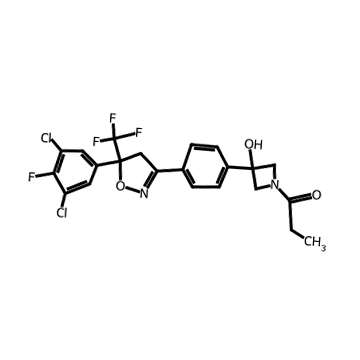 CCC(=O)N1CC(O)(c2ccc(C3=NOC(c4cc(Cl)c(F)c(Cl)c4)(C(F)(F)F)C3)cc2)C1